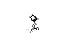 CC(=O)OCC1=C2CCC(C2)C1